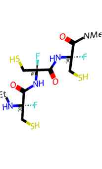 CCN[C@](F)(CS)C(=O)N[C@](F)(CS)C(=O)N[C@](F)(CS)C(=O)NC